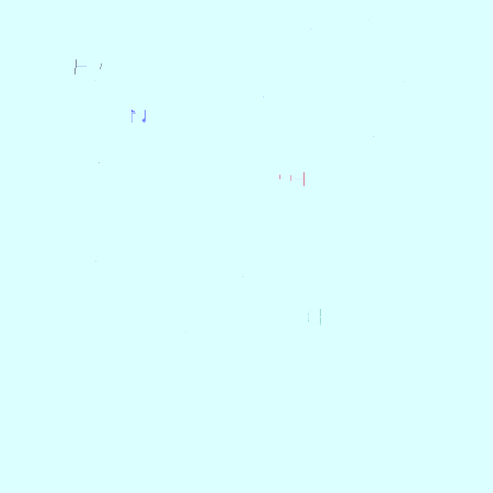 CN(Cc1ccc(-c2ccccc2Cl)cc1)C(CO)CC1CCCCC1